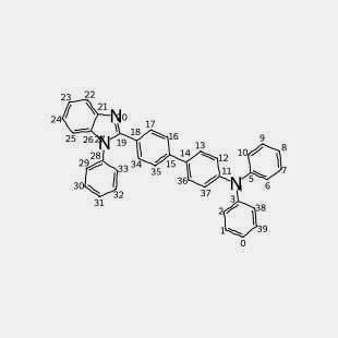 c1ccc(N(c2ccccc2)c2ccc(-c3ccc(-c4nc5ccccc5n4-c4ccccc4)cc3)cc2)cc1